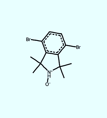 CC1(C)c2c(Br)ccc(Br)c2C(C)(C)[NH+]1[O-]